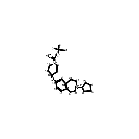 CC(C)(C)OC(=O)N1CCC(Oc2ccc3c(c2)CCN(C2CCCC2)CC3)CC1